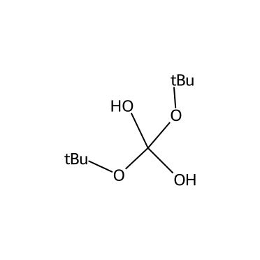 CC(C)(C)OC(O)(O)OC(C)(C)C